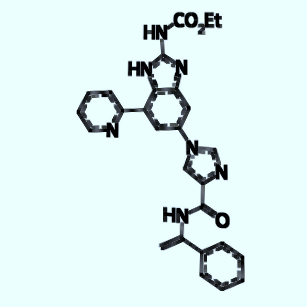 C=C(NC(=O)c1cn(-c2cc(-c3ccccn3)c3[nH]c(NC(=O)OCC)nc3c2)cn1)c1ccccc1